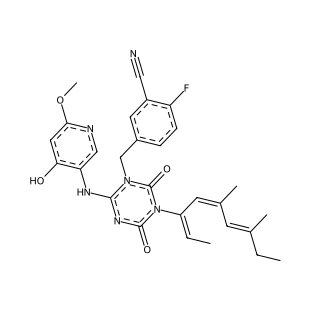 C\C=C(/C=C(C)\C=C(/C)CC)n1c(=O)nc(Nc2cnc(OC)cc2O)n(Cc2ccc(F)c(C#N)c2)c1=O